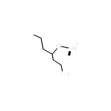 CCCC(CCO)N[SH](=O)=O